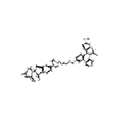 CC1Oc2cc(O)ccc2C(c2ccc(OCCCCCN3CCN(c4ccc5c(c4)CN(C4CCC(=O)NC4=O)C5=O)CC3)cc2)C1c1ccccc1